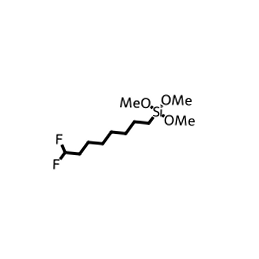 CO[Si](CCCCCCCC(F)F)(OC)OC